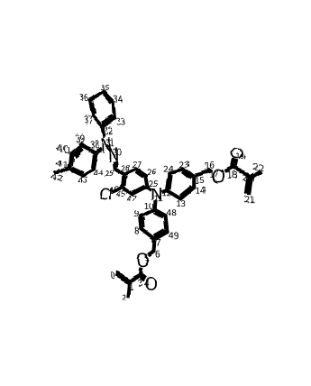 C=C(C)C(=O)OCc1ccc(N(c2ccc(COC(=O)C(=C)C)cc2)c2ccc(C=NN(c3ccccc3)c3ccc(C)cc3)c(Cl)c2)cc1